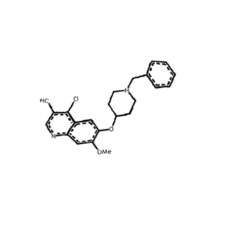 COc1cc2ncc(C#N)c(Cl)c2cc1OC1CCN(Cc2ccccc2)CC1